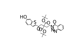 CC(C)(C)OC(=O)C(CCn1nnc2ccccc2c1=O)(CC(=O)c1cc2ccc(O)cc2s1)C(=O)OC(C)(C)C